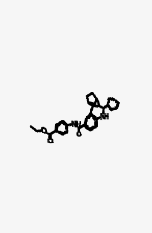 CCOC(=O)c1ccc(NC(=O)c2ccc3c(c2)C2C4CCC(C4)C2C(c2ccccc2)N3)cc1